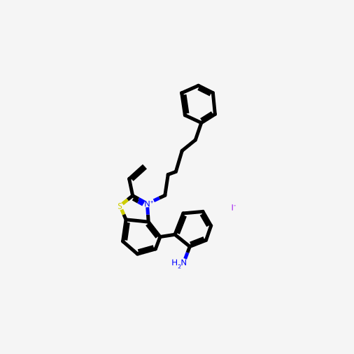 C=Cc1sc2cccc(-c3ccccc3N)c2[n+]1CCCCCc1ccccc1.[I-]